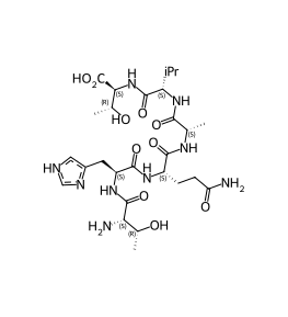 CC(C)[C@H](NC(=O)[C@H](C)NC(=O)[C@H](CCC(N)=O)NC(=O)[C@H](Cc1c[nH]cn1)NC(=O)[C@@H](N)[C@@H](C)O)C(=O)N[C@H](C(=O)O)[C@@H](C)O